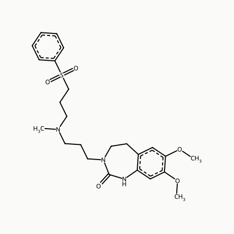 COc1cc2c(cc1OC)NC(=O)N(CCCN(C)CCCS(=O)(=O)c1ccccc1)CC2